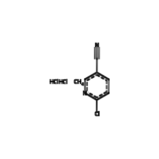 C.Cl.Cl.N#Cc1ccc(Cl)nc1